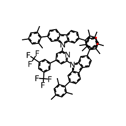 Cc1cc(C)c(-c2ccc3c4ccc(-c5c(C)cc(C)cc5C)cc4n(-c4cc(-c5cc(C(F)(F)F)cc(C(F)(F)F)c5)cc(-n5c6cc(-c7c(C)cc(C)cc7C)ccc6c6ccc(-c7c(C)cc(C)cc7C)cc65)n4)c3c2)c(C)c1